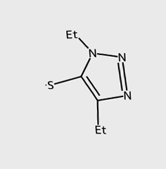 CCc1nnn(CC)c1[S]